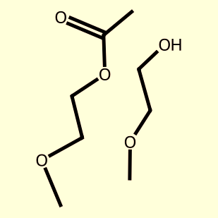 COCCO.COCCOC(C)=O